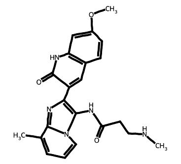 CNCCC(=O)Nc1c(-c2cc3ccc(OC)cc3[nH]c2=O)nc2c(C)cccn12